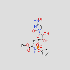 C#C[C@]1(COP(=O)(N[C@@H](C)C(=O)OC(C)C)Oc2ccccc2)O[C@@H](n2ccc(NO)nc2=O)C(O)C1O